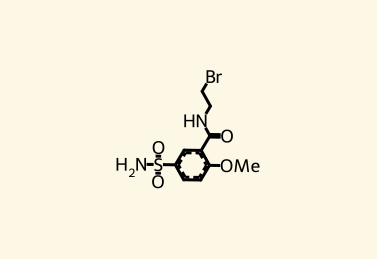 COc1ccc(S(N)(=O)=O)cc1C(=O)NCCBr